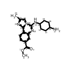 COC(=O)c1ccc2c(c1)nc(NC1CCC(N)CC1)n1cc(C)nc21